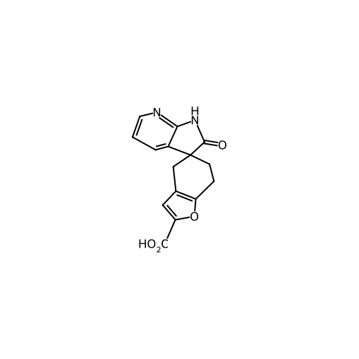 O=C(O)c1cc2c(o1)CCC1(C2)C(=O)Nc2ncccc21